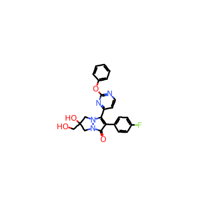 O=c1c(-c2ccc(F)cc2)c(-c2ccnc(Oc3ccccc3)n2)n2n1CC(O)(CO)C2